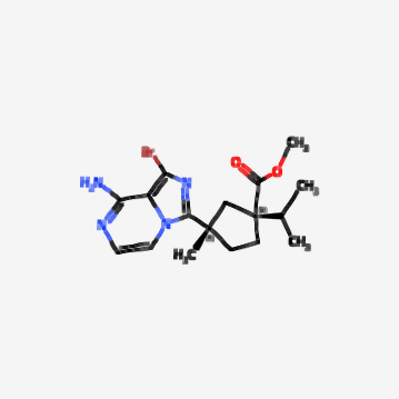 COC(=O)[C@]1(C(C)C)CC[C@](C)(c2nc(Br)c3c(N)nccn23)C1